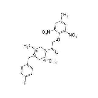 Cc1cc([N+](=O)[O-])c(OCC(=O)N2C[C@H](C)N(Cc3ccc(F)cc3)C[C@H]2C)c([N+](=O)[O-])c1